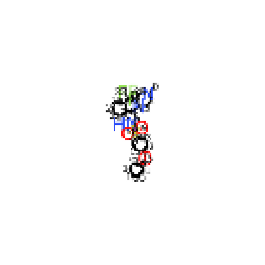 CN1CCN(C(CNS(=O)(=O)c2ccc(Oc3ccccc3)cc2)c2ccccc2C(F)(F)F)CC1